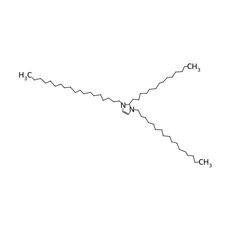 CCCCCCCCCCCCCCCCCCCN1C=CN(CCCCCCCCCCCCCCCCC)C1CCCCCCCCCCCCCC